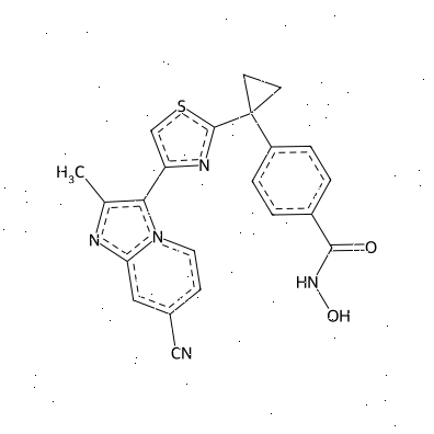 Cc1nc2cc(C#N)ccn2c1-c1csc(C2(c3ccc(C(=O)NO)cc3)CC2)n1